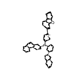 c1cc(-c2ccc3ccccc3c2)cc(N(c2ccc(-c3ccc4c(c3)oc3ccccc34)cc2)c2ccc3c(ccc4ccccc43)c2)c1